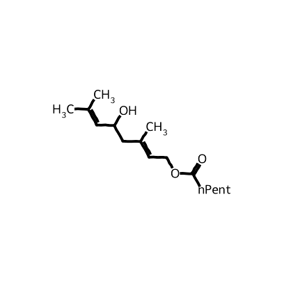 CCCCCC(=O)OC/C=C(\C)CC(O)C=C(C)C